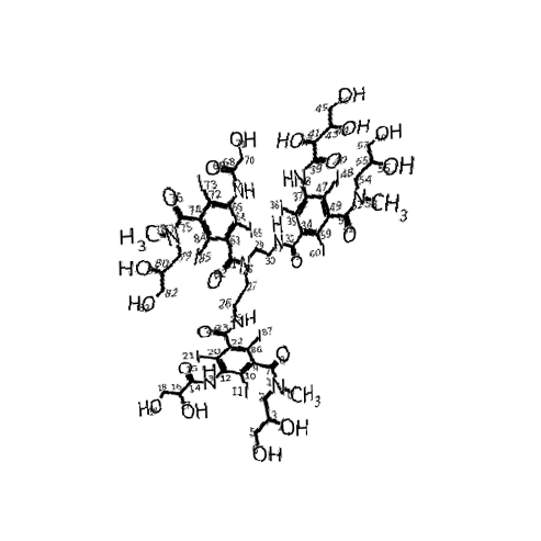 CN(CC(O)CO)C(=O)c1c(I)c(NC(=O)C(O)CO)c(I)c(C(=O)NCCN(CCNC(=O)c2c(I)c(NC(=O)C(O)C(O)CO)c(I)c(C(=O)N(C)CC(O)CO)c2I)C(=O)c2c(I)c(NC(=O)CO)c(I)c(C(=O)N(C)CC(O)CO)c2I)c1I